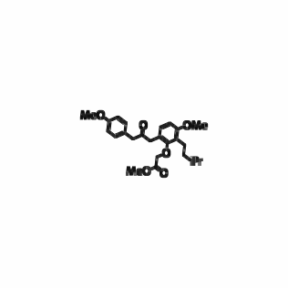 COC(=O)COc1c(CC(=O)Cc2ccc(OC)cc2)ccc(OC)c1CCC(C)C